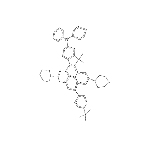 CC(C)(C)c1ccc(-c2cc3cc(C4CCCCC4)cc4c5c(c6cc(C7CCCCC7)cc2c6c34)C(C)(C)c2cc(N(c3ccccc3)c3ccccc3)ccc2-5)cc1